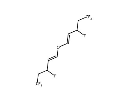 FC(C=COC=CC(F)CC(F)(F)F)CC(F)(F)F